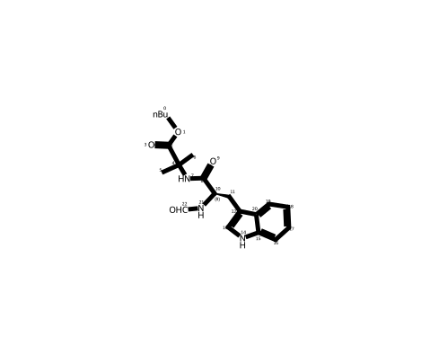 CCCCOC(=O)C(C)(C)NC(=O)[C@@H](Cc1c[nH]c2ccccc12)NC=O